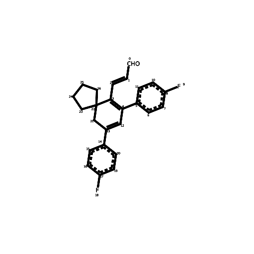 O=C/C=C/C1=C(c2ccc(F)cc2)C=C(c2ccc(F)cc2)CC12CCCC2